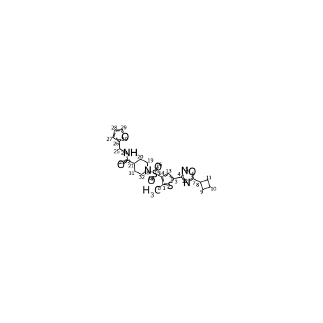 Cc1sc(-c2noc(C3CCC3)n2)cc1S(=O)(=O)N1CCC(C(=O)NCc2ccco2)CC1